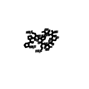 CC(C)CC(NC(=O)C(NC(=O)C(N)C(C)O)C(C)O)C(=O)NC(C(=O)NC(CCC(=O)O)C(=O)N1CCCC1C(=O)NC(CCC(=O)O)C(=O)N1CCCC1C(=O)N1CCCC1C(=O)O)C(C)O